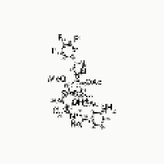 CO[C@@H]1[C@@H](n2cc(-c3cc(F)c(F)c(F)c3)nn2)[C@@H](OC(C)=O)[C@@H](COC(C)=O)O[C@H]1S[C@@H]1COC[C@H](n2cc(-c3cccc(N)c3)nn2)[C@H]1O